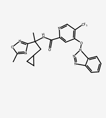 Cc1nc(C(C)(CC2CC2)NC(=O)c2cc(On3nnc4ccccc43)c(C(F)(F)F)cn2)no1